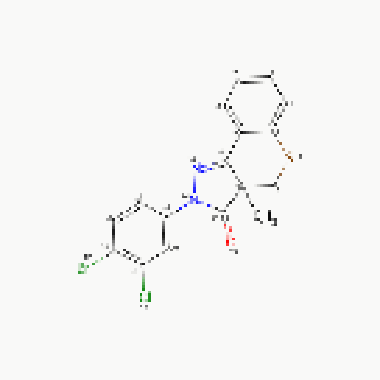 CC12CSc3ccccc3C1=NN(c1ccc(Br)c(Cl)c1)C2=O